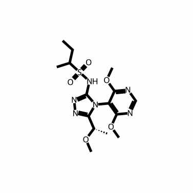 CCC(C)S(=O)(=O)Nc1nnc([C@H](C)OC)n1-c1c(OC)ncnc1OC